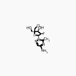 C=C1N=C(N)C=NN1[C@@H]1O[C@@](CO)(CCl)[C@@H](O)[C@H]1F